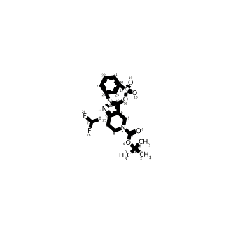 CC(C)(C)OC(=O)N1CCc2nn3c(c2C1)OS(=O)(=O)c1cccc-3c1.FC(F)F